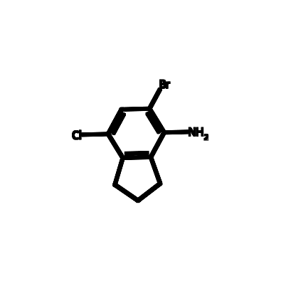 Nc1c(Br)cc(Cl)c2c1CCC2